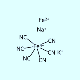 N#[C][Fe-4]([C]#N)([C]#N)([C]#N)([C]#N)[C]#N.[Fe+2].[K+].[Na+]